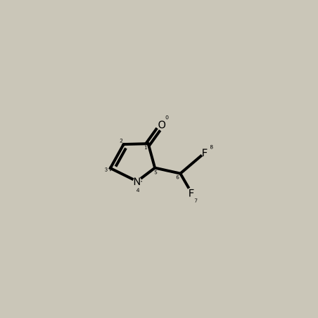 O=C1C=[C][N]C1C(F)F